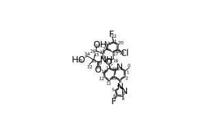 Cc1cc(-n2cc(F)cn2)c2cccc(OCc3c(Cl)cc(F)cc3[C@H](CO)NC(=O)C(C)(C)CO)c2n1